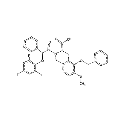 COc1ccc2c(c1OCc1ccccc1)C[C@H](C(=O)O)N(C(=O)[C@@H](Oc1c(F)cc(F)cc1F)c1ccccc1)C2